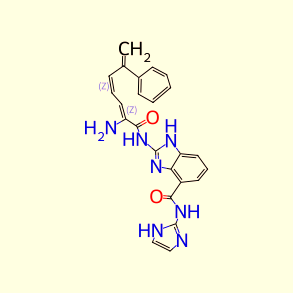 C=C(/C=C\C=C(/N)C(=O)Nc1nc2c(C(=O)Nc3ncc[nH]3)cccc2[nH]1)c1ccccc1